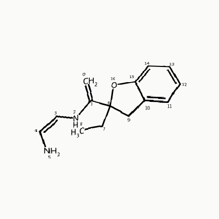 C=C(N/C=C\N)C1(CC)Cc2ccccc2O1